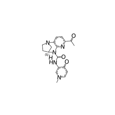 CC(=O)c1ccc2c(n1)N(C(=O)Nc1cn(C)ccc1=O)[C@H]1CCN2C1